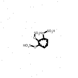 O=S(=O)(O)Oc1cccc(OS(=O)(=O)O)c1OS(=O)(=O)O